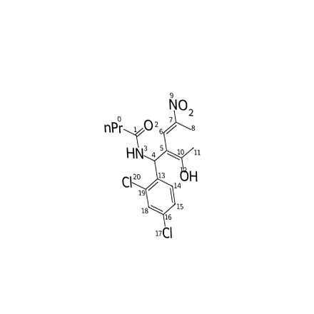 CCCC(=O)NC(C(/C=C(\C)[N+](=O)[O-])=C(/C)O)c1ccc(Cl)cc1Cl